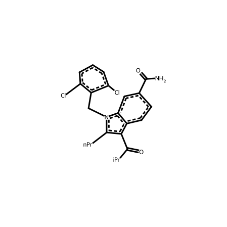 CCCc1c(C(=O)C(C)C)c2ccc(C(N)=O)cc2n1Cc1c(Cl)cccc1Cl